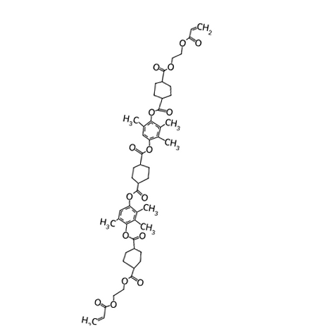 C=CC(=O)OCCOC(=O)C1CCC(C(=O)Oc2c(C)cc(OC(=O)C3CCC(C(=O)Oc4cc(C)c(OC(=O)C5CCC(C(=O)OCCOC(=O)C=C)CC5)c(C)c4C)CC3)c(C)c2C)CC1